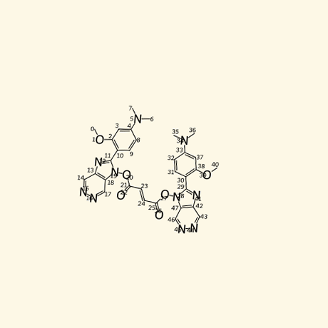 COc1cc(N(C)C)ccc1-c1nc2cnncc2n1OC(=O)/C=C/C(=O)On1c(-c2ccc(N(C)C)cc2OC)nc2cnncc21